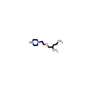 CCCC(C)COCCN1CCNCC1